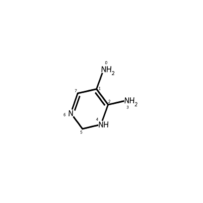 NC1=C(N)NCN=C1